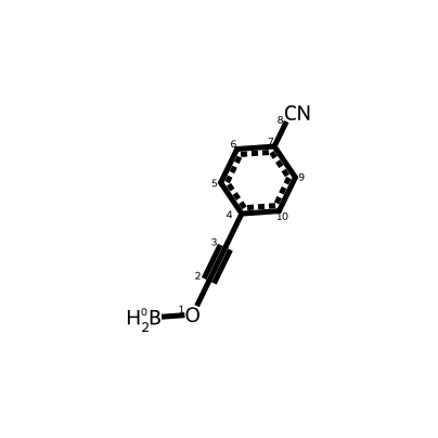 BOC#Cc1ccc(C#N)cc1